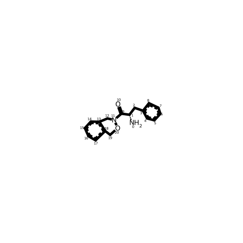 N[C@@H](Cc1ccccc1)C(=O)N1Cc2ccccc2CO1